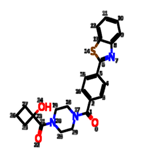 O=C(c1ccc(-c2nc3ccccc3s2)cc1)N1CCN(C(=O)C2(O)CCC2)CC1